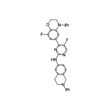 CC(C)N1CCc2cc(Nc3ncc(F)c(-c4cc(F)c5c(c4)N(C(C)C)CCO5)n3)ccc2C1